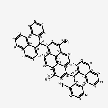 CC(C)c1cc(N(c2ccccc2)c2cccc3ccccc23)c2ccc3c(C(C)C)cc(N(c4ccccc4F)c4cccc5ccccc45)c4ccc1c2c34